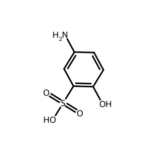 Nc1ccc(O)c(S(=O)(=O)O)c1